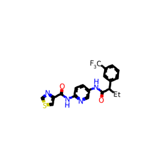 CCC(C(=O)Nc1ccc(NC(=O)c2cscn2)nc1)c1cccc(C(F)(F)F)c1